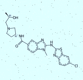 C[C@@H](O)CN1CC[C@@H](NC(=O)c2ccc3c(c2)nc(Nc2nc4ccc(Cl)cc4s2)n3C)C1